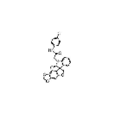 O=C(CN1C(=O)C2(COc3cc4c(cc32)OCO4)c2ccccc21)Nc1ccc(Cl)cc1